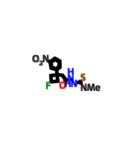 CNC(=S)NNC(=O)CC1(c2cccc([N+](=O)[O-])c2)CC(F)C1